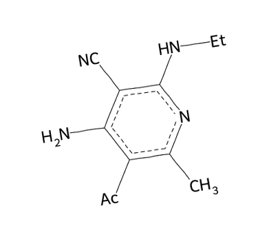 CCNc1nc(C)c(C(C)=O)c(N)c1C#N